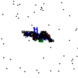 CCOc1cc(N2CC[C@H](C)C2)ccc1Nc1ncc(Cl)c(Nc2ccccc2S(=O)(=O)NCC2CC2)n1